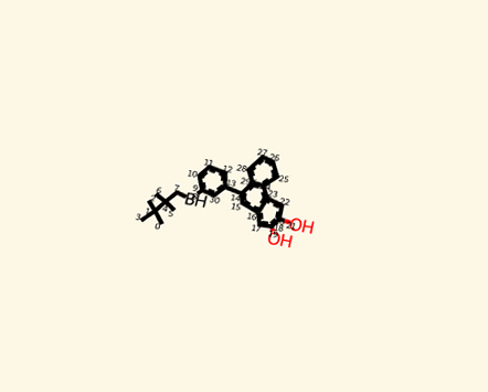 CC(C)(C)C(C)(C)CBc1cccc(-c2cc3cc(O)c(O)cc3c3ccccc23)c1